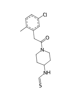 Cc1ccc(Cl)cc1CC(=O)N1CCC(NC=S)CC1